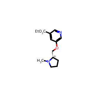 CCOC(=O)c1cncc(OC[C@@H]2CCCN2C)c1